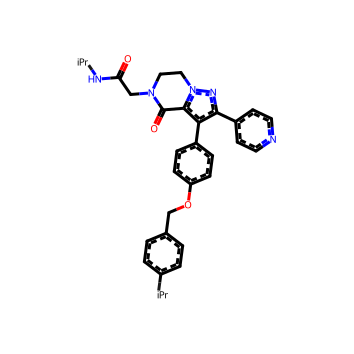 CC(C)NC(=O)CN1CCn2nc(-c3ccncc3)c(-c3ccc(OCc4ccc(C(C)C)cc4)cc3)c2C1=O